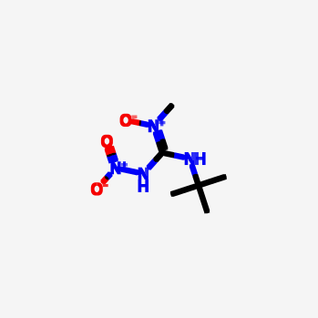 C/[N+]([O-])=C(/N[N+](=O)[O-])NC(C)(C)C